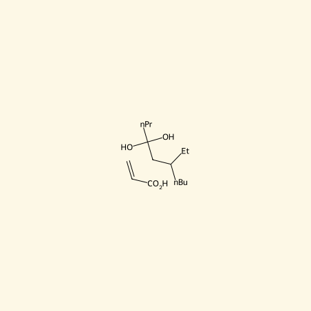 C=CC(=O)O.CCCCC(CC)CC(O)(O)CCC